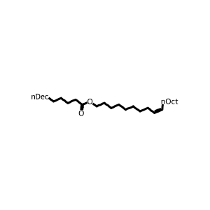 CCCCCCCC/C=C\CCCCCCCCOC(=O)CCCCCCCCCCCCCC